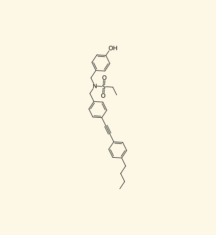 CCCCc1ccc(C#Cc2ccc(CN(Cc3ccc(O)cc3)S(=O)(=O)CC)cc2)cc1